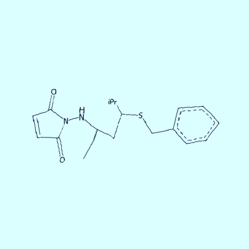 CC(CC(SCc1ccccc1)C(C)C)NN1C(=O)C=CC1=O